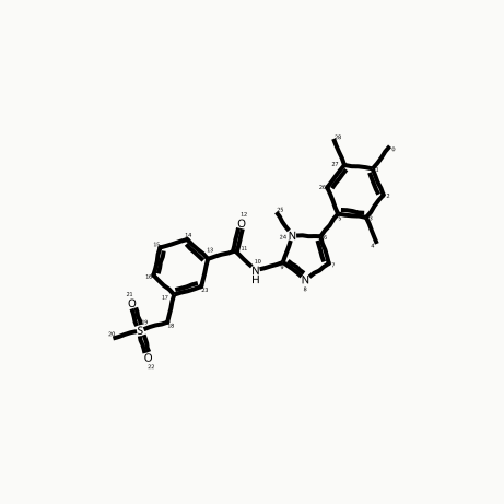 Cc1cc(C)c(-c2cnc(NC(=O)c3cccc(CS(C)(=O)=O)c3)n2C)cc1C